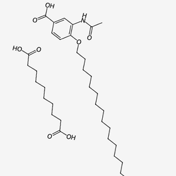 CCCCCCCCCCCCCCCCOc1ccc(C(=O)O)cc1NC(C)=O.O=C(O)CCCCCCCCC(=O)O